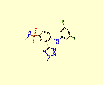 CNS(=O)(=O)c1ccc(Nc2cc(F)cc(F)c2)c(-c2nnn(C)n2)c1